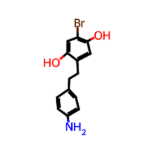 Nc1ccc(CCc2cc(O)c(Br)cc2O)cc1